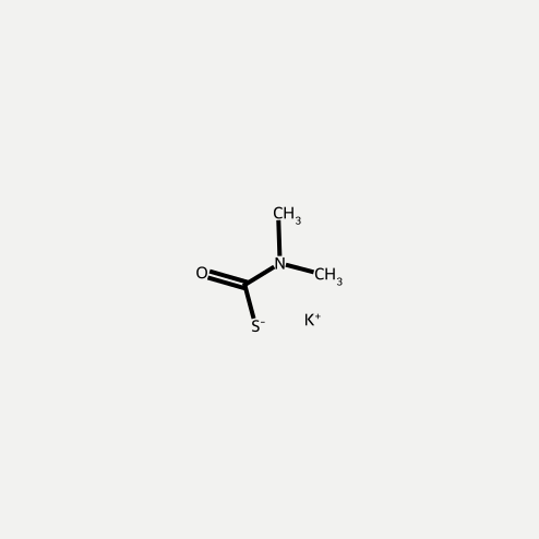 CN(C)C(=O)[S-].[K+]